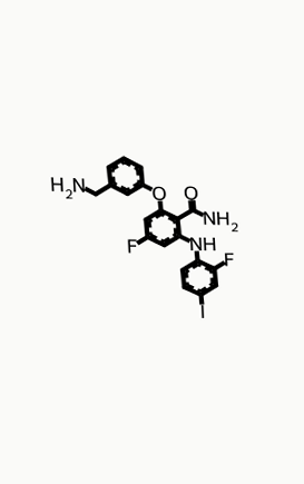 NCc1cccc(Oc2cc(F)cc(Nc3ccc(I)cc3F)c2C(N)=O)c1